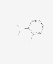 O=C(O)N(F)c1ccccc1[N+](=O)[O-]